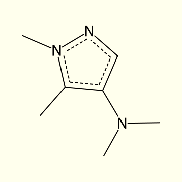 Cc1c(N(C)C)cnn1C